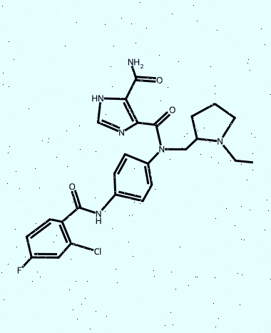 CCN1CCCC1CN(C(=O)c1nc[nH]c1C(N)=O)c1ccc(NC(=O)c2ccc(F)cc2Cl)cc1